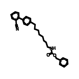 N#Cc1ccccc1-c1ccc(CCCCCCCCNC(=O)OCc2ccccc2)cc1